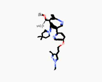 Cc1nn(C)cc1CCOc1ccc(-c2cnc(C)c([C@H](OC(C)(C)C)C(=O)O)c2N2CCC(C)(C)CC2)nc1